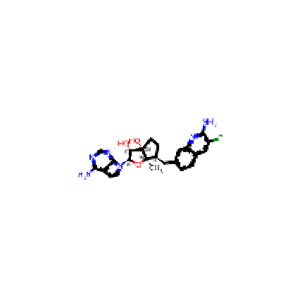 C[C@]12O[C@@H](n3ccc4c(N)ncnc43)[C@H](O)[C@@]1(O)CC[C@H]2Cc1ccc2cc(F)c(N)nc2c1